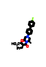 CC(C)C[C@H](C(=O)N1CCN(c2ccc(-c3ccc(F)cc3)cc2)C[C@H]1C)[C@H](O)C(=O)O